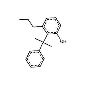 CCCc1cccc(O)c1C(C)(C)c1ccccc1